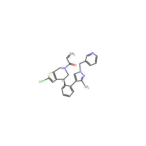 C=CC(=O)N1Cc2sc(Cl)cc2[C@H](c2ccccc2-c2cn(Cc3cccnc3)nc2C(F)(F)F)C1